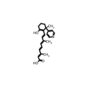 CC(/C=C/C1=C(O)CCC[C@]1(C)c1ccncc1)=C\C=C\C(C)=C\C(=O)O